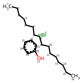 Br.CCCCCCCCCCCCCCCC.Oc1ccccc1